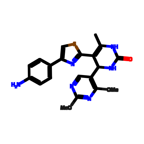 COc1ncc(C2NC(=O)NC(C)=C2c2nc(-c3ccc(N)cc3)cs2)c(OC)n1